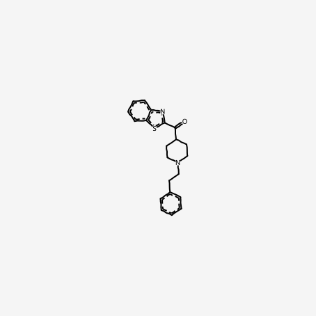 O=C(c1nc2ccccc2s1)C1CCN(CCc2ccccc2)CC1